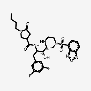 CCCCN1CC(C(=O)NC(Cc2cc(F)cc(F)c2)[C@H](O)[C@H]2CN(S(=O)(=O)c3cccc4nonc34)CCN2)CC1=O